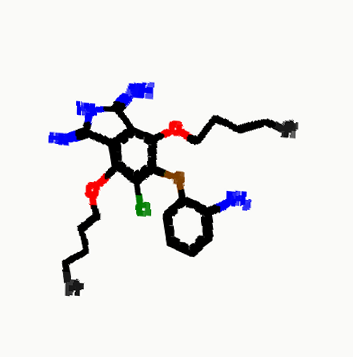 CC(C)CCCCOc1c(Cl)c(Sc2ccccc2N)c(OCCCCC(C)C)c2c1C(=N)NC2=N